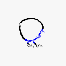 CN1CCCCCCCCCCNNN1C